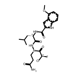 COc1cccc2[nH]c(C(=O)N[C@@H](CC(C)C)C(=O)NN(CCC(N)=O)C(=O)[C@@H](F)Cl)cc12